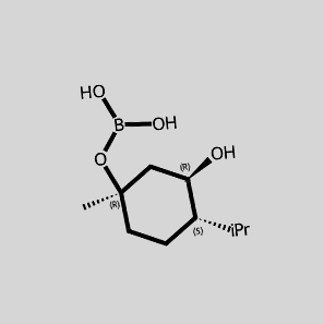 CC(C)[C@@H]1CC[C@@](C)(OB(O)O)C[C@H]1O